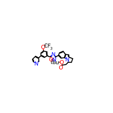 CC(C)(C)OC(=O)CC1CCc2cc3ccc(-c4noc(-c5cc(OC(F)(F)F)cc(-c6cccnc6)c5)n4)cc3n21